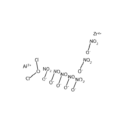 ClOCl.O=[N+]([O-])[O-].O=[N+]([O-])[O-].O=[N+]([O-])[O-].O=[N+]([O-])[O-].O=[N+]([O-])[O-].O=[N+]([O-])[O-].O=[N+]([O-])[O-].[Al+3].[Zr+4]